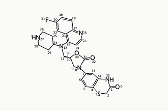 O=C1CSc2ccc(N3C[C@@H](CN(c4ccnc5ccc(F)cc45)C4CCNCC4)OC3=O)cc2N1